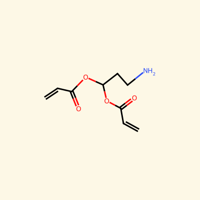 C=CC(=O)OC(CCN)OC(=O)C=C